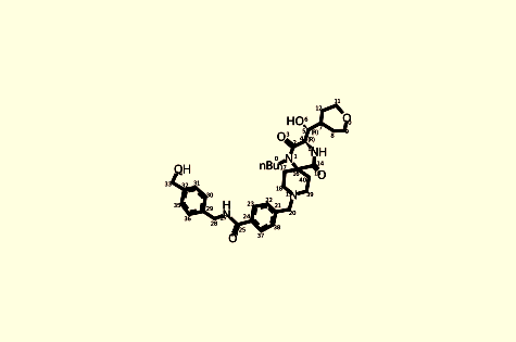 CCCCN1C(=O)[C@@H]([C@H](O)C2CCOCC2)NC(=O)C12CCN(Cc1ccc(C(=O)NCc3ccc(CO)cc3)cc1)CC2